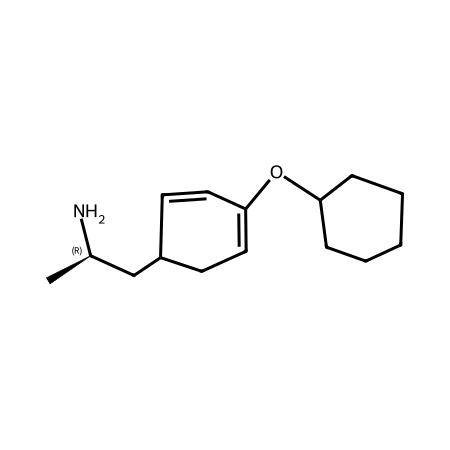 C[C@@H](N)CC1C=CC(OC2CCCCC2)=CC1